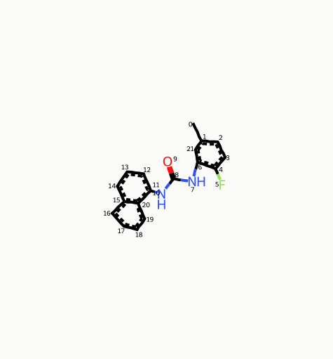 Cc1ccc(F)c(NC(=O)Nc2cccc3ccccc23)c1